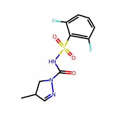 CC1C=NN(C(=O)NS(=O)(=O)c2c(F)cccc2F)C1